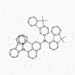 CC1(C)c2ccccc2-c2cc(N(c3cc(-c4ccccc4)c4c(-n5c6ccccc6c6ccccc65)cccc4c3)c3cccc4c3-c3ccccc3C4(C)C)ccc21